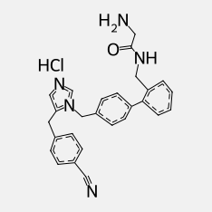 Cl.N#Cc1ccc(Cc2cncn2Cc2ccc(-c3ccccc3CNC(=O)CN)cc2)cc1